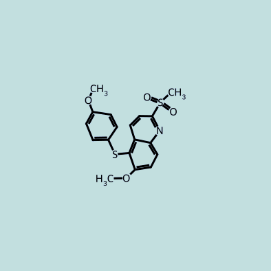 COc1ccc(Sc2c(OC)ccc3nc(S(C)(=O)=O)ccc23)cc1